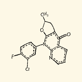 CC1Cc2c(n(-c3ccc(F)c(Cl)c3)c3ncccc3c2=O)O1